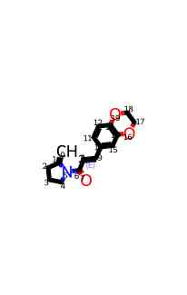 C=C1CCCN1C(=O)/C=C/c1ccc2c(c1)OCCO2